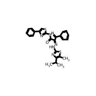 Cc1sc(N/N=C2\C(=O)N(c3nc(-c4ccccc4)cs3)N=C2c2ccccc2)nc1C(C)C